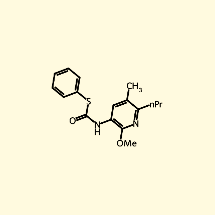 CCCc1nc(OC)c(NC(=O)Sc2ccccc2)cc1C